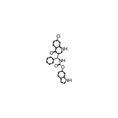 O=C(NC(c1ccccc1)c1c[nH]c2cc(Cl)ccc2c1=O)Oc1ccc2cc[nH]c2c1